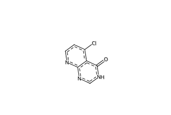 O=c1[nH]cnc2nccc(Cl)c12